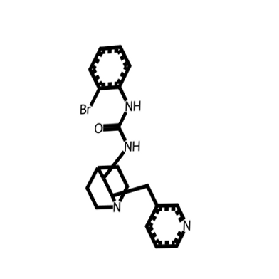 O=C(Nc1ccccc1Br)NC1C2CCN(CC2)C1Cc1cccnc1